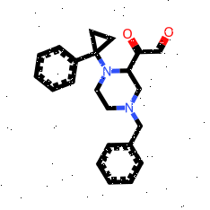 O=CC(=O)C1CN(Cc2ccccc2)CCN1C1(c2ccccc2)CC1